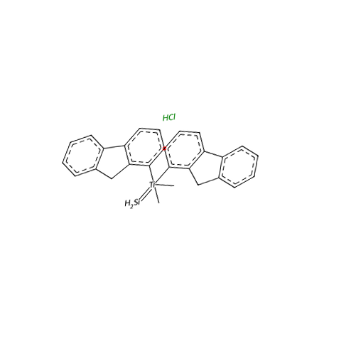 Cl.[CH3][Ti]([CH3])(=[SiH2])([c]1cccc2c1Cc1ccccc1-2)[c]1cccc2c1Cc1ccccc1-2